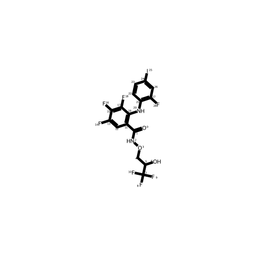 O=C(NOCC(O)C(F)(F)F)c1cc(F)c(F)c(F)c1Nc1ccc(I)cc1F